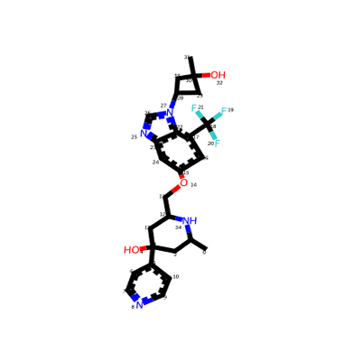 CC1CC(O)(c2ccncc2)CC(COc2cc(C(F)(F)F)c3c(c2)ncn3C2CC(C)(O)C2)N1